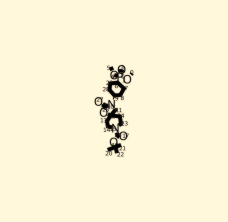 COP(=O)(OC)[C@H]1CC[C@H](N2CC3(CCN(C(=O)OC(C)(C)C)CC3)OC2=O)CC1